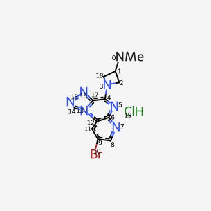 CNC1CN(c2nc3ncc(Br)cc3n3cnnc23)C1.Cl